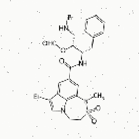 CCc1cn2c3c(cc(C(=O)N[C@@H](Cc4ccccc4)[C@@H](CNC(C)C)OC=O)cc13)N(C)S(=O)(=O)CC2